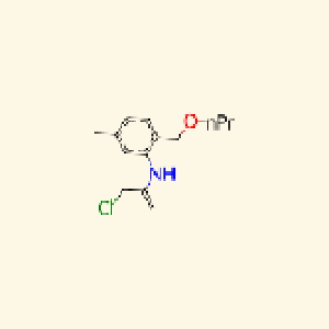 C=C(CCl)Nc1cc(C)ccc1COCCC